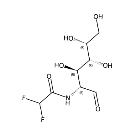 O=C[C@H](NC(=O)C(F)F)[C@@H](O)[C@@H](O)[C@H](O)CO